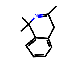 CC1=NC(C)(C)c2ccccc2C1